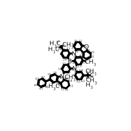 Cc1cc2c3c(c1)N(c1cccc4oc5ccccc5c14)c1cc(C(C)(C)C)ccc1B3c1ccc(N3c4ccc(-c5ccccc5)cc4C4(C)CCCCC34C)cc1N2c1cccc(C(C)(C)C)c1